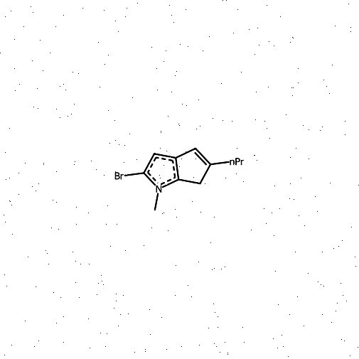 CCCC1=Cc2cc(Br)n(C)c2C1